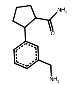 NCc1cccc(C2CCCC2C(N)=O)c1